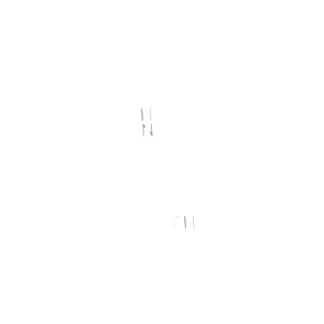 CC1CCCCNCCC1